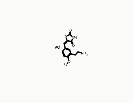 CCOc1ccc(C=C2SC(=O)NC2=O)cc1CCN.Cl